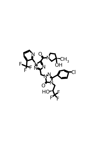 C[C@]1(O)CCN(C(=O)c2nc(Cn3nc(-c4ccc(Cl)cc4)n(C[C@H](O)C(F)(F)F)c3=O)nn2-c2ncccc2C(F)(F)F)C1